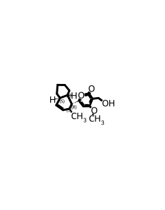 COc1cc([C@H]2[C@@H]3CCCC[C@@H]3C=C[C@@H]2C)oc(=O)c1CO